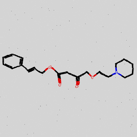 O=C(COCCN1CCCCC1)CC(=O)OC/C=C/c1ccccc1